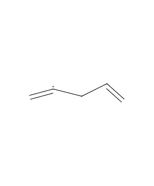 C=[C]CC=C